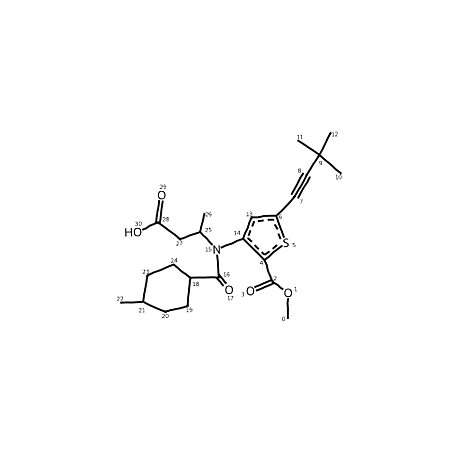 COC(=O)c1sc(C#CC(C)(C)C)cc1N(C(=O)C1CCC(C)CC1)C(C)CC(=O)O